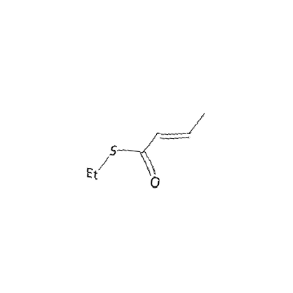 [CH2]CSC(=O)C=CC